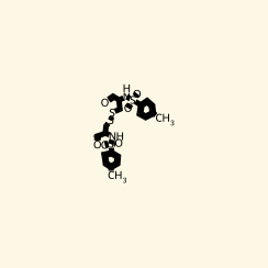 Cc1ccc(S(=O)(=O)NC([C]=O)CSSCC([C]=O)NS(=O)(=O)c2ccc(C)cc2)cc1